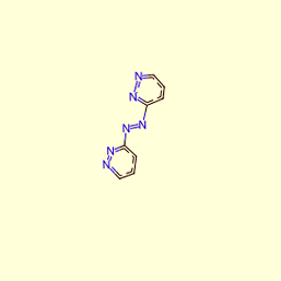 c1cnnc(N=Nc2cccnn2)c1